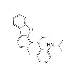 CCN(c1ccccc1NC(C)C)c1c(C)ccc2c1oc1ccccc12